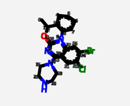 CC(C)c1ccccc1-n1c(=O)nc(N2CCNCC2)c2cc(Cl)c(Br)cc21